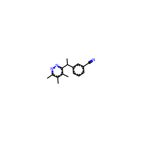 Cc1nnc(C(C)c2cccc(C#N)c2)c(C)c1C